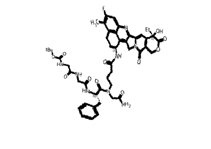 CC[C@@]1(O)C(=O)OCc2c1cc1n(c2=O)Cc2c-1nc1cc(F)c(C)c3c1c2[C@@H](NC(=O)CCCN(CC(N)=O)C(=O)[C@H](Cc1ccccc1)NC(=O)CNC(=O)CNC(=O)OC(C)(C)C)CC3